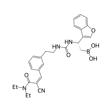 CCN(CC)C(=O)C(C#N)=Cc1cccc(CCNC(=O)N[C@@H](CB(O)O)c2coc3ccccc23)c1